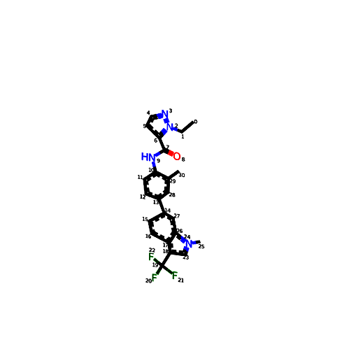 CCn1nccc1C(=O)Nc1ccc(-c2ccc3c(C(F)(F)F)cn(C)c3c2)cc1C